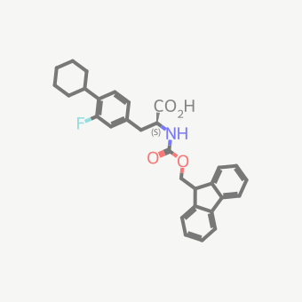 O=C(N[C@@H](Cc1ccc(C2CCCCC2)c(F)c1)C(=O)O)OCC1c2ccccc2-c2ccccc21